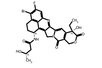 CC[C@@]1(O)C(=O)OCc2c1cc1n(c2=O)Cc2c-1nc1cc(F)c(Br)c3c1c2[C@H](NC(=O)C[C@H](C)O)CC3